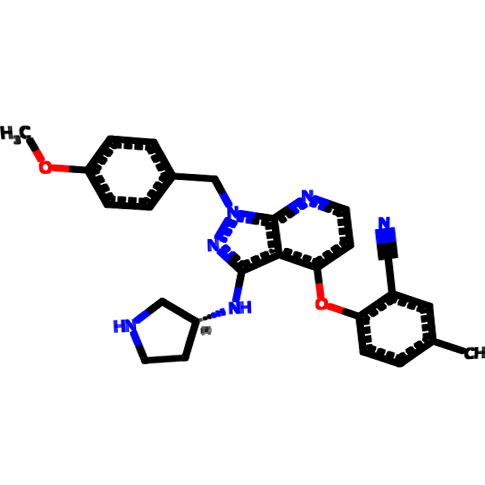 COc1ccc(Cn2nc(N[C@@H]3CCNC3)c3c(Oc4ccc(C)cc4C#N)ccnc32)cc1